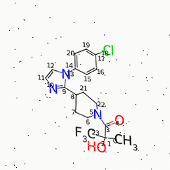 CC(O)(C(=O)N1CCC(c2nccn2-c2ccc(Cl)cc2)CC1)C(F)(F)F